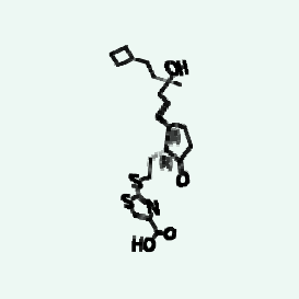 CC(O)(CC=C[C@H]1CCC(=O)[C@@H]1CCSc1nc(C(=O)O)cs1)CCC1CCC1